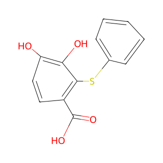 O=C(O)c1ccc(O)c(O)c1Sc1ccccc1